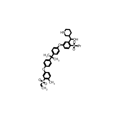 C=CS(=O)(=O)c1cc(Oc2ccc(C(C)(C)c3ccc(Oc4ccc(S(=O)(=O)C(C)C)c(C(O)C5CCCNC5)c4)cc3)cc2)ccc1C